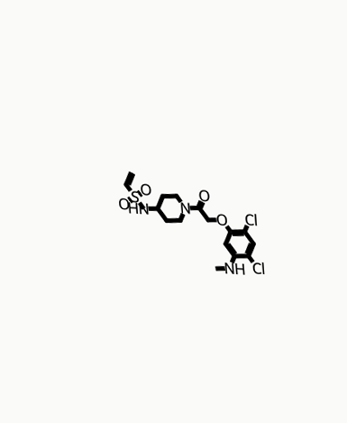 C=CS(=O)(=O)NC1CCN(C(=O)COc2cc(NC)c(Cl)cc2Cl)CC1